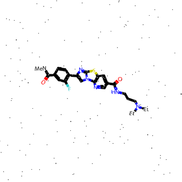 CCN(CC)CCCNC(=O)c1cnc2c(c1)sc1nc(-c3ccc(C(=O)NC)cc3F)cn12